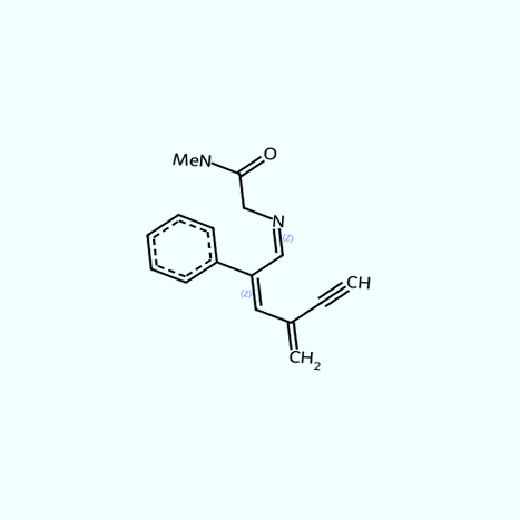 C#CC(=C)/C=C(\C=N/CC(=O)NC)c1ccccc1